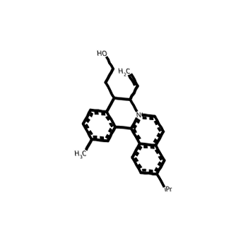 C=CC1C(CCO)c2ccc(C)cc2-c2c3ccc(C(C)C)cc3cc[n+]21